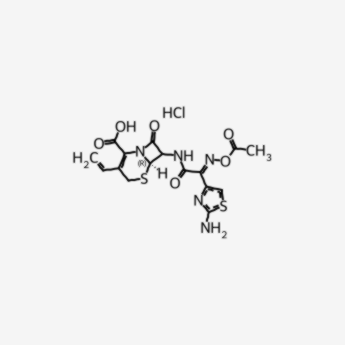 C=CC1=C(C(=O)O)N2C(=O)C(NC(=O)C(=NOC(C)=O)c3csc(N)n3)[C@H]2SC1.Cl